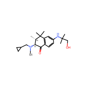 CCN(CC1CC1)[C@@H]1C(=O)c2ccc(NC(C)(C)CO)cc2C(C)(C)[C@H]1C